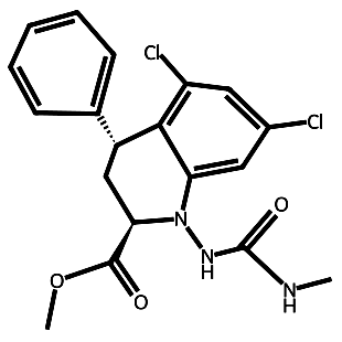 CNC(=O)NN1c2cc(Cl)cc(Cl)c2[C@@H](c2ccccc2)C[C@@H]1C(=O)OC